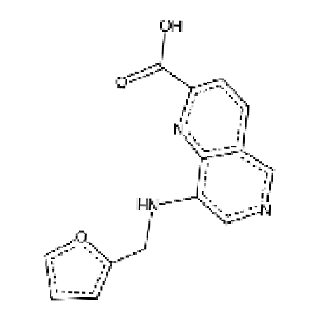 O=C(O)c1ccc2cncc(NCc3ccco3)c2n1